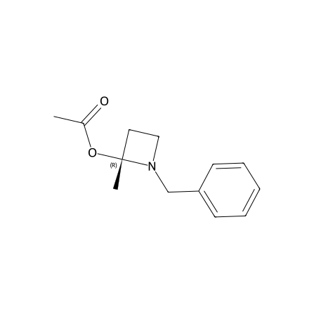 CC(=O)O[C@]1(C)CCN1Cc1ccccc1